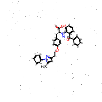 Cc1cc(CCOc2ccc(C[C@H](Nc3ccccc3C(=O)c3ccccc3)C(=O)O)cc2)nn1-c1ccccc1